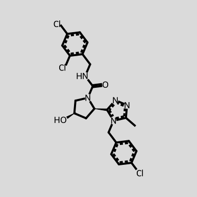 Cc1nnc([C@H]2C[C@@H](O)CN2C(=O)NCc2ccc(Cl)cc2Cl)n1Cc1ccc(Cl)cc1